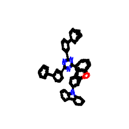 c1ccc(-c2cccc(-c3nc(-c4cccc(-c5ccccc5)c4)nc(-c4cccc5oc6cc(-n7c8ccccc8c8ccccc87)ccc6c45)n3)c2)cc1